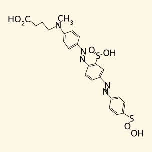 CN(CCCC(=O)O)c1ccc(/N=N/c2ccc(/N=N/c3ccc(SOO)cc3)cc2S(=O)O)cc1